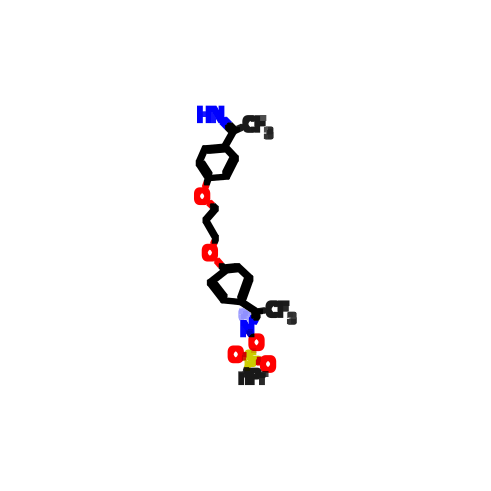 CCCS(=O)(=O)O/N=C(/c1ccc(OCCCOc2ccc(C(=N)C(F)(F)F)cc2)cc1)C(F)(F)F